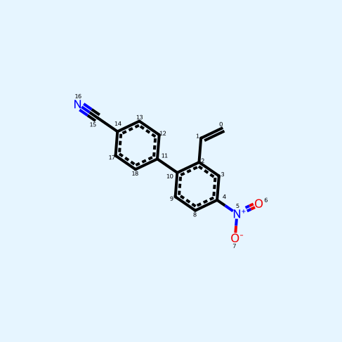 C=Cc1cc([N+](=O)[O-])ccc1-c1ccc(C#N)cc1